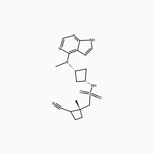 CN(c1ncnc2[nH]ccc12)[C@H]1C[C@@H](NS(=O)(=O)C[C@]2(C)CCC2C#N)C1